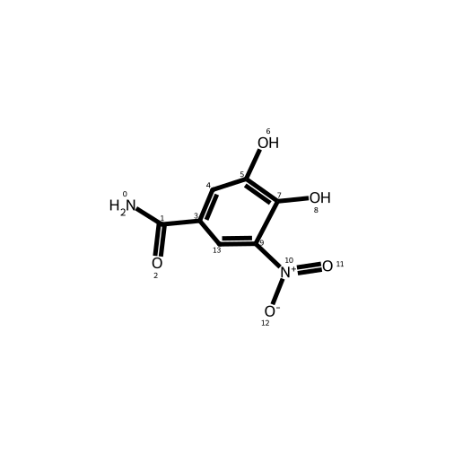 NC(=O)c1cc(O)c(O)c([N+](=O)[O-])c1